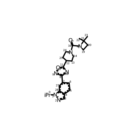 CC(C)n1ncc2ccc(-c3noc(C4CCN(C(=O)N5CCC5(C)C)CC4)n3)cc21